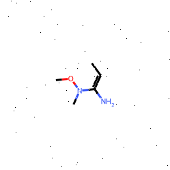 C/C=C(/N)N(C)OC